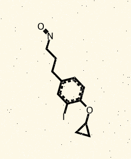 O=NCCCc1ccc(OC2CC2)c(I)c1